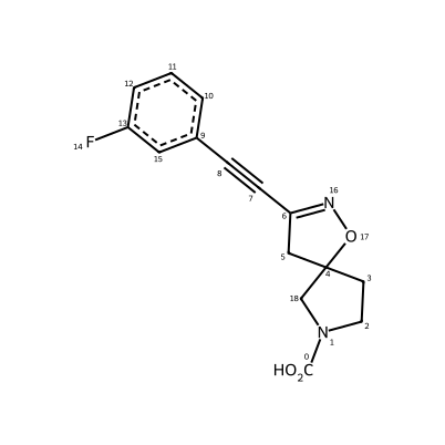 O=C(O)N1CCC2(CC(C#Cc3cccc(F)c3)=NO2)C1